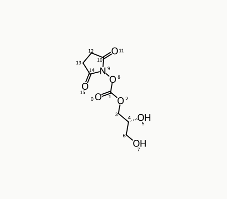 O=C(OC[C@H](O)CO)ON1C(=O)CCC1=O